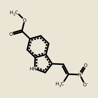 COC(=O)c1ccc2c(/C=C(\C)[N+](=O)[O-])c[nH]c2c1